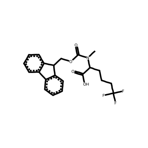 CN(C(=O)OCC1c2ccccc2-c2ccccc21)C(CCCC(F)(F)F)C(=O)O